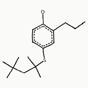 CCCc1cc(SC(C)(C)CC(C)(C)C)ccc1[O]